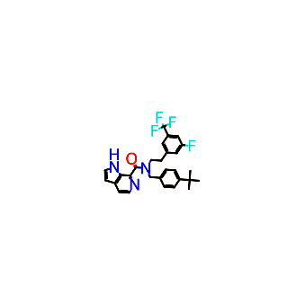 CC(C)(C)c1ccc(CN(CCc2cc(F)cc(C(F)(F)F)c2)C(=O)c2nccc3cc[nH]c23)cc1